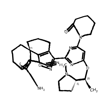 C[C@H](Oc1cc(N2CCCCC2=O)nc(-c2noc3c2CCC[C@@]32CCCc3sc(N)c(C#N)c32)n1)[C@@H]1CCCN1C